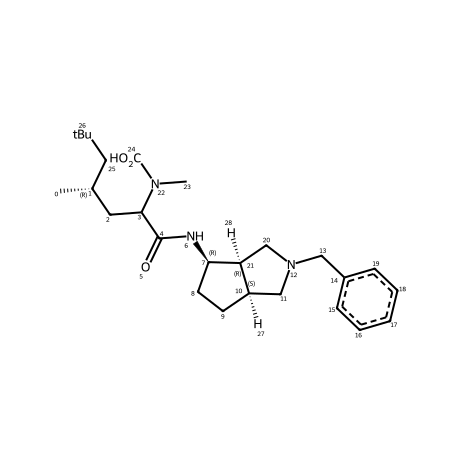 C[C@@H](CC(C(=O)N[C@@H]1CC[C@@H]2CN(Cc3ccccc3)C[C@@H]21)N(C)C(=O)O)CC(C)(C)C